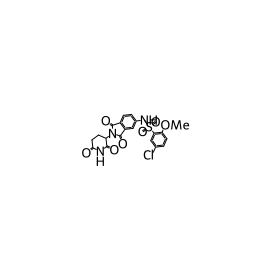 COc1ccc(Cl)cc1S(=O)(=O)Nc1ccc2c(c1)C(=O)N(C1CCC(=O)NC1=O)C2=O